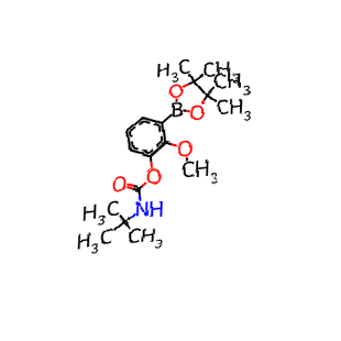 COc1c(OC(=O)NC(C)(C)C)cccc1B1OC(C)(C)C(C)(C)O1